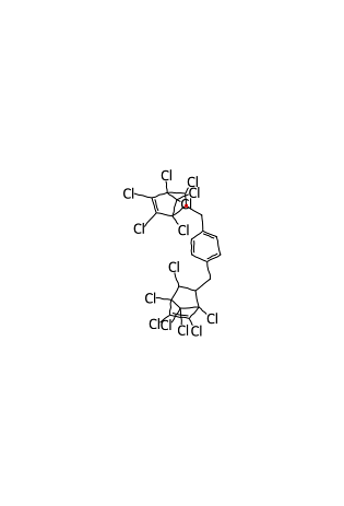 ClC1=C(Cl)C2(Cl)C(Cc3ccc(CC4C(Cl)C5(Cl)C(Cl)=C(Cl)C4(Cl)C5(Cl)Cl)cc3)C(Cl)C1(Cl)C2(Cl)Cl